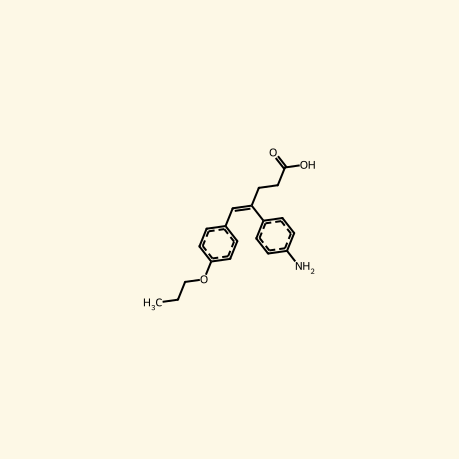 CCCOc1ccc(C=C(CCC(=O)O)c2ccc(N)cc2)cc1